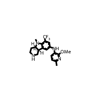 COc1nc(C)ccc1Nc1cc2c(c(C(F)(F)F)c1)N(C)[C@@H]1CCNC[C@H]21